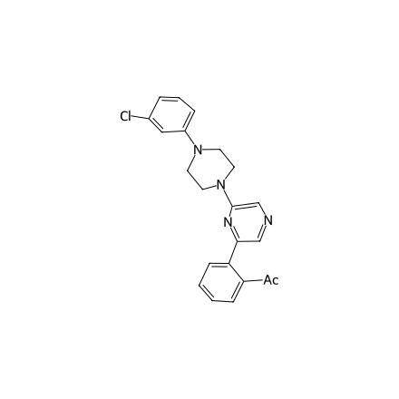 CC(=O)c1ccccc1-c1cncc(N2CCN(c3cccc(Cl)c3)CC2)n1